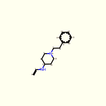 C=CNC1CCN(CCc2ccccc2)CC1